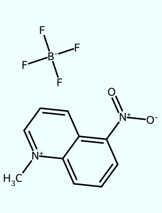 C[n+]1cccc2c([N+](=O)[O-])cccc21.F[B-](F)(F)F